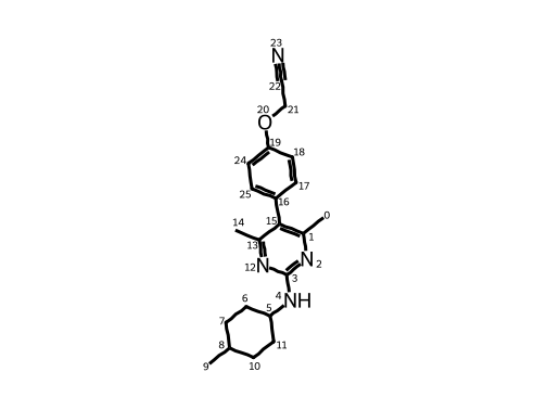 Cc1nc(NC2CCC(C)CC2)nc(C)c1-c1ccc(OCC#N)cc1